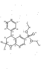 CCOP(=O)(OCC)c1ccc2c(c1)C(c1cccnc1)CC(C)(C)O2